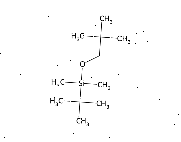 CC(C)(C)CO[Si](C)(C)C(C)(C)C